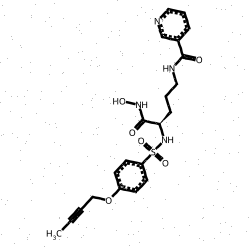 CC#CCOc1ccc(S(=O)(=O)N[C@H](CCCNC(=O)c2cccnc2)C(=O)NO)cc1